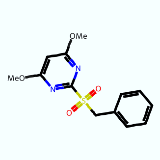 COc1cc(OC)nc(S(=O)(=O)Cc2ccccc2)n1